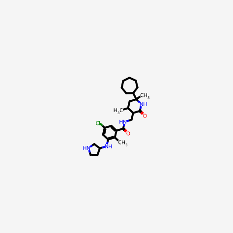 Cc1c(NC2CCNC2)cc(Cl)cc1C(=O)NCC1C(=O)NC(C)(C2CCCCCC2)CC1C